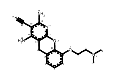 CN(C)CCOc1cccc2c1Oc1nc(N)c(C#N)c(N)c1C2